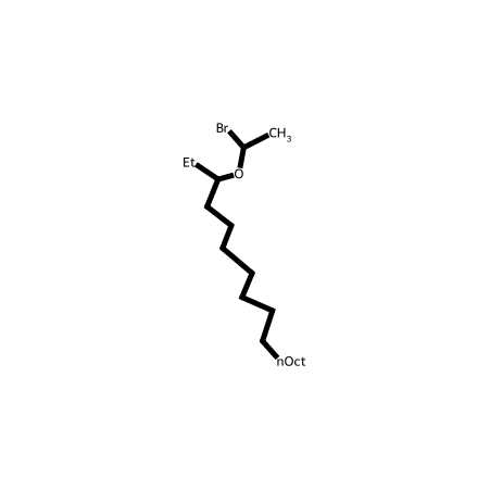 CCCCCCCCCCCCCCCC(CC)OC(C)Br